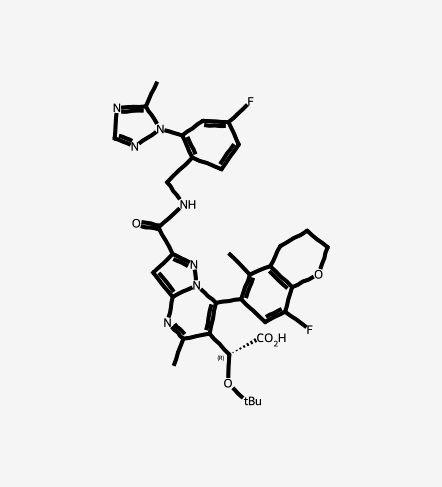 Cc1nc2cc(C(=O)NCc3ccc(F)cc3-n3ncnc3C)nn2c(-c2cc(F)c3c(c2C)CCCO3)c1[C@@H](OC(C)(C)C)C(=O)O